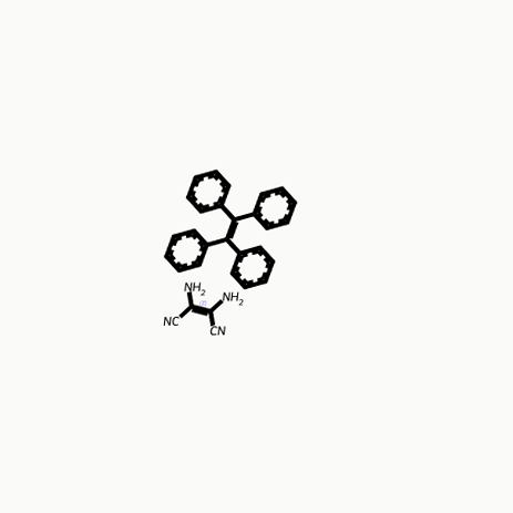 N#C/C(N)=C(/N)C#N.c1ccc(C(=C(c2ccccc2)c2ccccc2)c2ccccc2)cc1